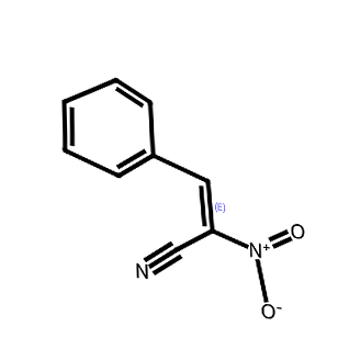 N#C/C(=C\c1ccccc1)[N+](=O)[O-]